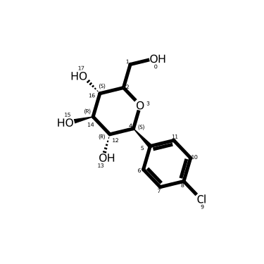 OCC1O[C@@H](c2c[c]c(Cl)cc2)[C@H](O)[C@@H](O)[C@@H]1O